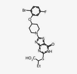 CCC(Sc1nc2nc(N3CCC(Oc4cc(F)ccc4Br)CC3)sc2c(=O)[nH]1)C(=O)O